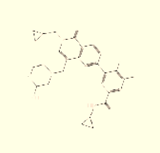 Cc1c(F)cc(C(=O)NC2CC2)cc1-c1ccc2c(=O)n(CC3CC3)cc(CN3CCNC(C)C3)c2c1